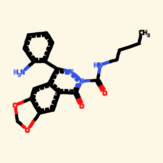 CCCCNC(=O)n1nc(-c2ccccc2N)c2cc3c(cc2c1=O)OCO3